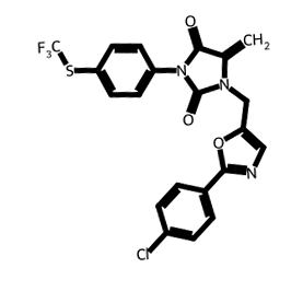 C=C1C(=O)N(c2ccc(SC(F)(F)F)cc2)C(=O)N1Cc1cnc(-c2ccc(Cl)cc2)o1